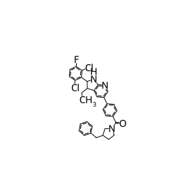 CCC1c2cc(-c3ccc(C(=O)N4CCC(Cc5ccccc5)C4)cc3)cnc2NC1c1c(Cl)ccc(F)c1Cl